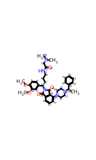 COc1ccc([C@@H](CCCNC(=O)CN(C)C)N2C(=O)c3cccc(N4CCN([C@H](C)c5ccccc5)CC4)c3C2=O)cc1OC